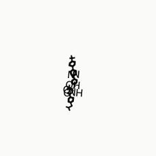 CC(C)Cc1ccc(C(=O)N[C@@H](Cc2ccc(-c3ncc(-c4ccc(C(C)(C)C)cc4)cn3)cc2)C(=O)O)cc1